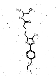 CCOc1ccc(-c2nc(CSCC(=O)NC(C)CC)c(C)o2)cc1